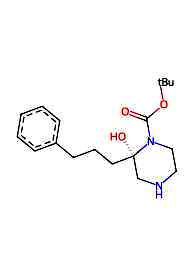 CC(C)(C)OC(=O)N1CCNC[C@@]1(O)CCCc1ccccc1